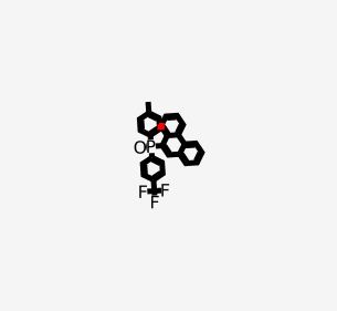 Cc1ccc(P(=O)(c2ccc(C(F)(F)F)cc2)c2cc3ccccc3c3ccccc23)cc1